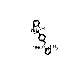 Cn1cccc1N(C=O)Cc1ccc(C(=O)Nc2ccccc2N)cc1